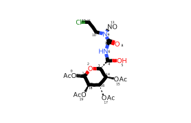 CC(=O)OC1O[C@H](C(O)NC(=O)N(CCCl)N=O)[C@@H](OC(C)=O)[C@H](OC(C)=O)[C@H]1OC(C)=O